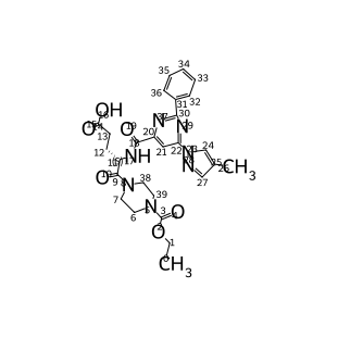 CCOC(=O)N1CCN(C(=O)[C@H](CCC(=O)O)NC(=O)c2cc(-n3cc(C)cn3)nc(-c3ccccc3)n2)CC1